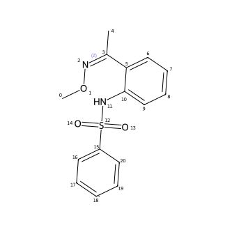 CO/N=C(/C)c1ccccc1NS(=O)(=O)c1cc[c]cc1